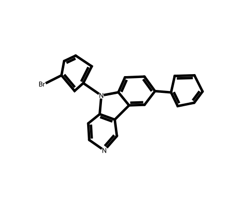 Brc1cccc(-n2c3ccncc3c3cc(-c4ccccc4)ccc32)c1